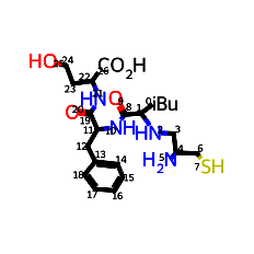 CCC(C)C(NCC(N)CS)C(=O)NC(Cc1ccccc1)C(=O)NC(CCO)C(=O)O